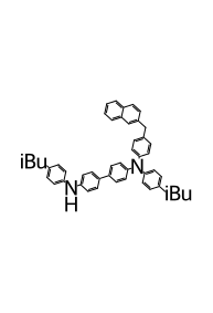 CCC(C)c1ccc(Nc2ccc(-c3ccc(N(c4ccc(Cc5ccc6ccccc6c5)cc4)c4ccc(C(C)CC)cc4)cc3)cc2)cc1